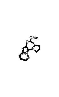 COC(C)Oc1nc2cccnn2c1N1CCCC1